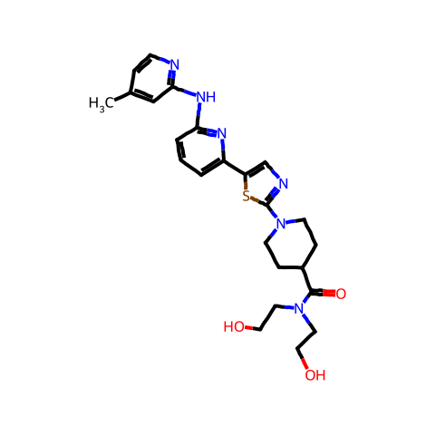 Cc1ccnc(Nc2cccc(-c3cnc(N4CCC(C(=O)N(CCO)CCO)CC4)s3)n2)c1